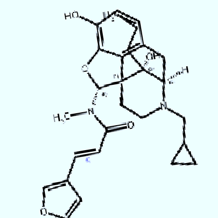 CCC[C@@]1(O)[C@H]2Cc3ccc(O)c4c3[C@@]1(CCN2CC1CC1)[C@H](N(C)C(=O)/C=C/c1ccoc1)O4